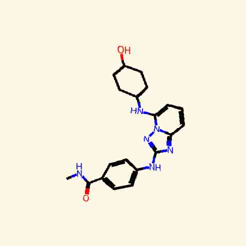 CNC(=O)c1ccc(Nc2nc3cccc(NC4CCC(O)CC4)n3n2)cc1